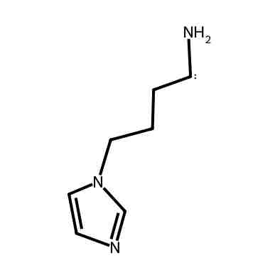 N[C]CCCn1ccnc1